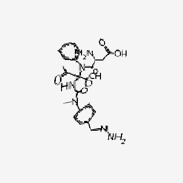 CC(=O)[C@@](NC(=O)N(C)c1ccc(C=NN)cc1)(C(=O)O)N(C(=O)[C@@H](N)CC(=O)O)c1ccccc1